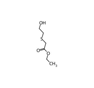 CCOC(=O)CSCCO